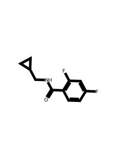 O=C(NCC1CC1)c1ccc(F)cc1F